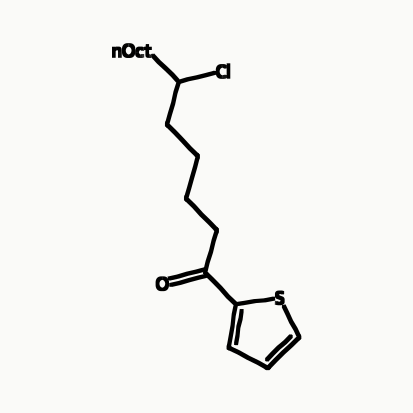 CCCCCCCCC(Cl)CCCCC(=O)c1cccs1